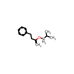 C=C(CCc1ccccc1)O[SiH2]C(C)C